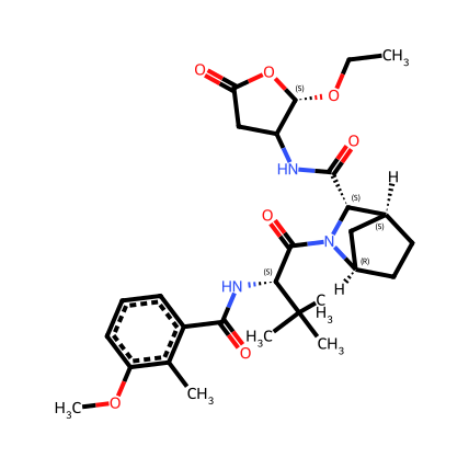 CCO[C@H]1OC(=O)CC1NC(=O)[C@@H]1[C@H]2CC[C@H](C2)N1C(=O)[C@@H](NC(=O)c1cccc(OC)c1C)C(C)(C)C